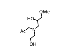 COCC(O)CN(CCO)CC(C)=O